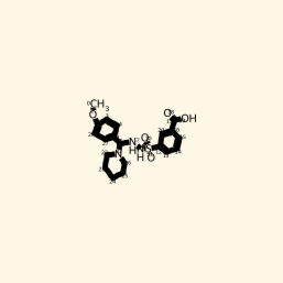 COc1ccc(C(NNS(=O)(=O)c2cccc(C(=O)O)c2)N2CCCCC2)cc1